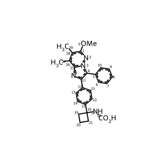 COc1nn2c(-c3ccccc3)c(-c3ccc(C4(NC(=O)O)CCC4)cc3)nc2c(C)c1C